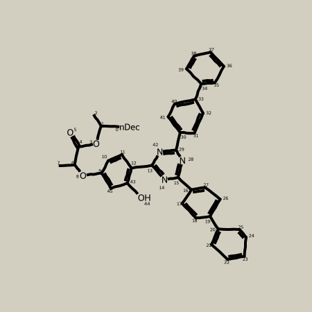 CCCCCCCCCCC(C)OC(=O)C(C)Oc1ccc(-c2nc(-c3ccc(-c4ccccc4)cc3)nc(-c3ccc(-c4ccccc4)cc3)n2)c(O)c1